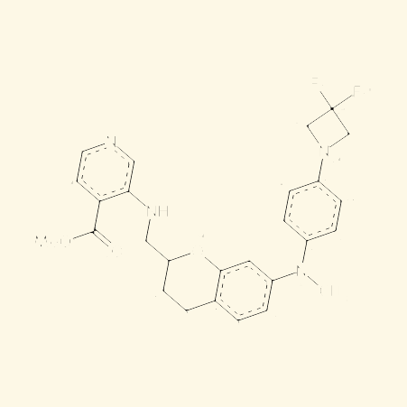 COC(=O)c1ccncc1NCC1CCc2ccc(N(C)c3ccc(N4CC(F)(F)C4)cc3)cc2O1